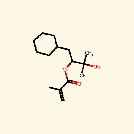 C=C(C)C(=O)OC(CC1CCCCC1)C(O)(C(F)(F)F)C(F)(F)F